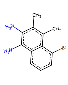 Cc1c(N)c(N)c2cccc(Br)c2c1C